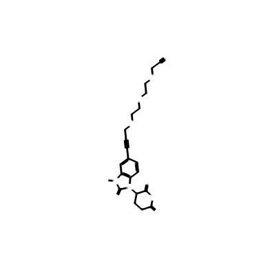 C#CCOCCOCCOCC#Cc1ccc2c(c1)n(C)c(=O)n2C1CCC(=O)NC1=O